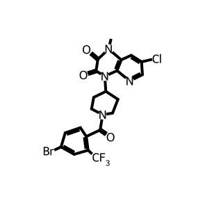 Cn1c(=O)c(=O)n(C2CCN(C(=O)c3ccc(Br)cc3C(F)(F)F)CC2)c2ncc(Cl)cc21